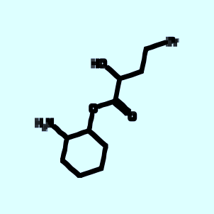 CC(C)CCC(O)C(=O)OC1CCCCC1N